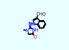 CN1CC(=O)NC1=N.O=Cc1c[nH]c2ccccc12